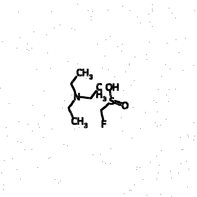 CCN(CC)CC.O=S(O)CF